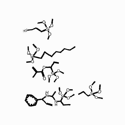 C=C(C)C(=O)OC(CC)[Si](OC)(OC)OC.C=CC(NC(C)NC(CC)[Si](OC)(OC)OC)c1ccccc1.CCCCCCCC[Si](OC)(OC)OC.CCC[Si](OC)(OC)OC.CO[Si](CCCS)(OC)OC